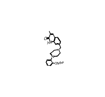 COc1ccccc1N1CCN(Cc2ccc3cc(C)c(=O)[nH]c3c2)CC1